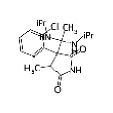 CC(C)NC(C)(NC(C)C)C1(c2ccccc2Cl)C(=O)NC(=O)C1C